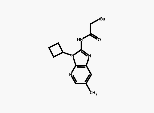 Cc1cnc2c(c1)nc(NC(=O)CC(C)(C)C)n2C1CCC1